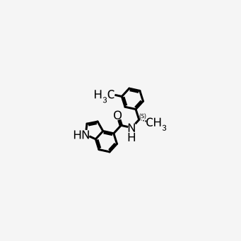 Cc1cccc([C@H](C)NC(=O)c2cccc3[nH]ccc23)c1